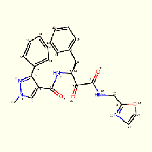 Cn1cc(C(=O)N[C@@H](Cc2ccccc2)C(=O)C(=O)NCc2ncco2)c(-c2ccccc2)n1